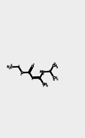 CCOC(=O)C=C(N)NC(C)C